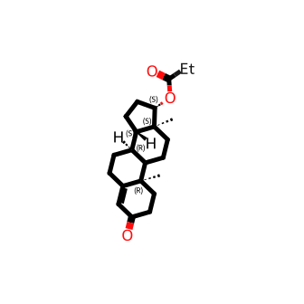 CCC(=O)O[C@H]1CC[C@H]2[C@@H]3CCC4=CC(=O)CC[C@]4(C)C3CC[C@]12C